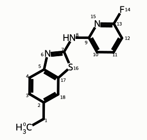 CCc1ccc2nc(Nc3cccc(F)n3)sc2c1